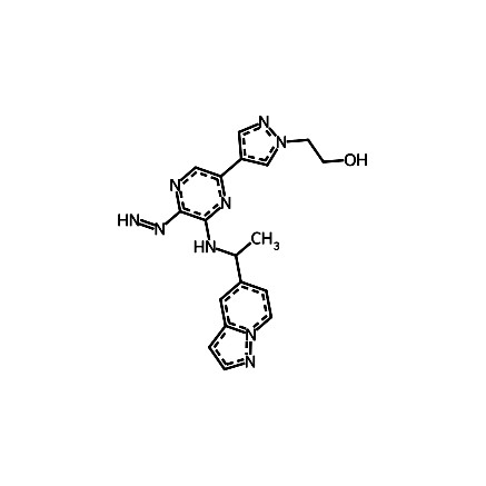 CC(Nc1nc(-c2cnn(CCO)c2)cnc1N=N)c1ccn2nccc2c1